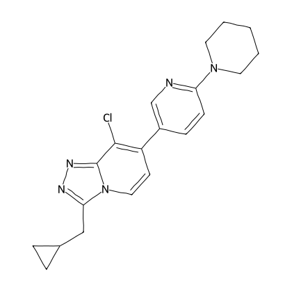 Clc1c(-c2ccc(N3CCCCC3)nc2)ccn2c(CC3CC3)nnc12